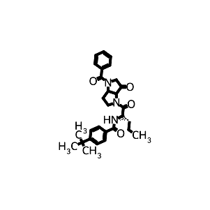 CCC[C@H](NC(=O)c1ccc(C(C)(C)C)cc1)C(=O)N1CCC2C1C(=O)CN2C(=O)c1ccccc1